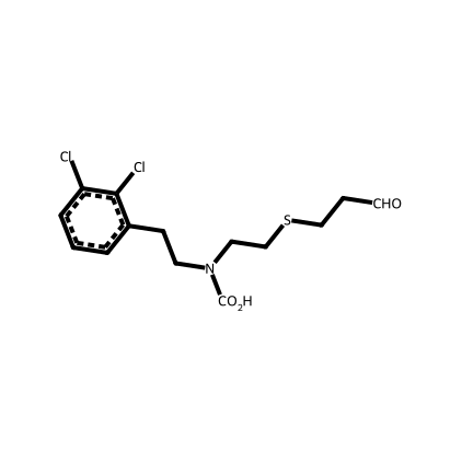 O=CCCSCCN(CCc1cccc(Cl)c1Cl)C(=O)O